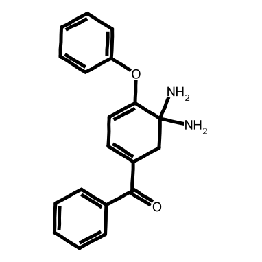 NC1(N)CC(C(=O)c2ccccc2)=CC=C1Oc1ccccc1